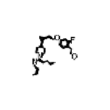 C\C=C/C=N\C(=C\CCC)N1CCC(C2CC2CCOc2ccc(CC=O)c(F)c2)CC1